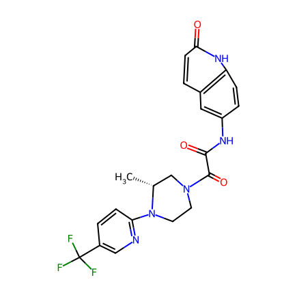 C[C@@H]1CN(C(=O)C(=O)Nc2ccc3[nH]c(=O)ccc3c2)CCN1c1ccc(C(F)(F)F)cn1